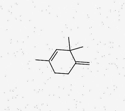 C=C1CCC(C)=CC1(C)C